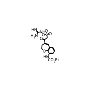 CCOC(=O)Nc1cccc2c1OCCC(C(=O)CS(=O)(=O)ONC(=N)N)=C2